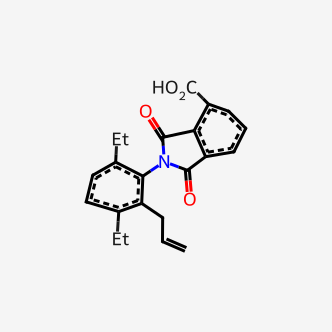 C=CCc1c(CC)ccc(CC)c1N1C(=O)c2cccc(C(=O)O)c2C1=O